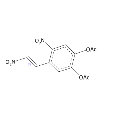 CC(=O)Oc1cc(/C=C/[N+](=O)[O-])c([N+](=O)[O-])cc1OC(C)=O